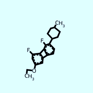 CCOc1cc(F)c2c(c1)-c1ccc(C3CCC(C)CC3)c(F)c1-2